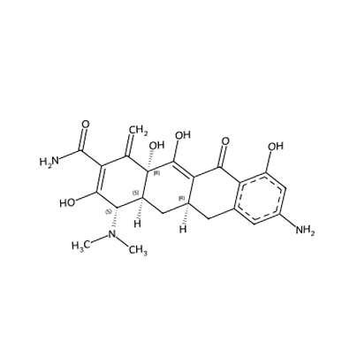 C=C1C(C(N)=O)=C(O)[C@@H](N(C)C)[C@@H]2C[C@@H]3Cc4cc(N)cc(O)c4C(=O)C3=C(O)[C@]12O